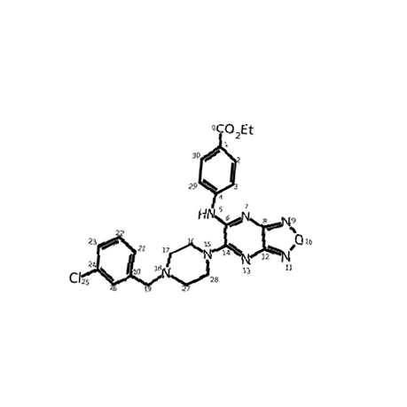 CCOC(=O)c1ccc(Nc2nc3nonc3nc2N2CCN(Cc3cccc(Cl)c3)CC2)cc1